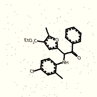 CCOC(=O)c1cc(C(Nc2ccc(Cl)cc2C)C(=O)c2ccccc2)oc1C